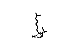 CC(C)CCCCCc1[nH]cc[n+]1C(C)C